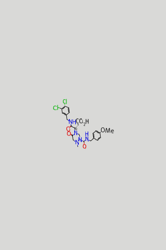 COc1ccc(CNC(=O)N2CN([C@@H](CC(=O)O)C(=O)NCc3ccc(Cl)c(Cl)c3)C(=O)CN2C)cc1